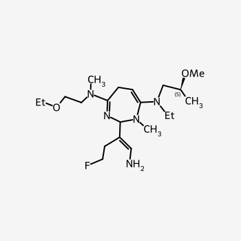 CCOCCN(C)C1=NC(C(=CN)CCF)N(C)C(N(CC)C[C@H](C)OC)=CC1